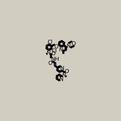 Cc1cc(N2CCOCC2)c2cccc(OCc3c(Cl)ccc(N(C)C(=O)CNC(=O)/C=C/c4ccc(C(=O)N(C)c5ccccn5)nc4)c3Cl)c2n1